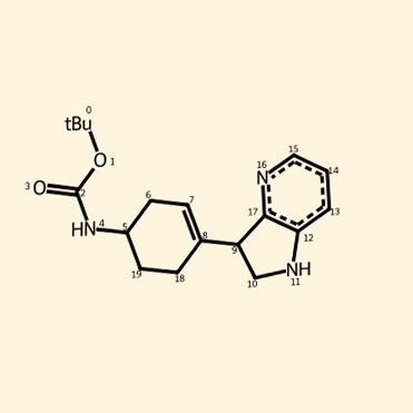 CC(C)(C)OC(=O)NC1CC=C(C2CNc3cccnc32)CC1